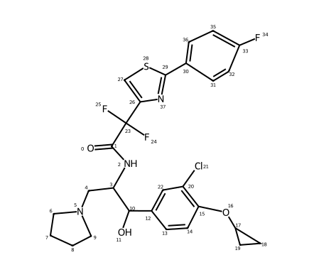 O=C(NC(CN1CCCC1)C(O)c1ccc(OC2CC2)c(Cl)c1)C(F)(F)c1csc(-c2ccc(F)cc2)n1